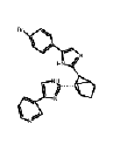 Brc1ccc(-c2cnc([C@H]3C4CCC(C4)[C@@H]3c3nc(-c4cccnc4)c[nH]3)[nH]2)cc1